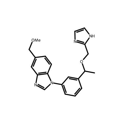 COCc1ccc2c(c1)ncn2-c1cccc(C(C)OCc2ncc[nH]2)c1